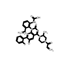 C=CC(=O)N1CCN(c2nc(=O)n(-c3c(NC(=O)O)cccc3C(C)C)c3nc(-c4ccccc4F)c(Cl)cc23)C(C)C1